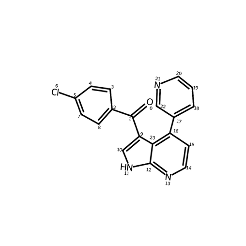 O=C(c1ccc(Cl)cc1)c1c[nH]c2nccc(-c3cccnc3)c12